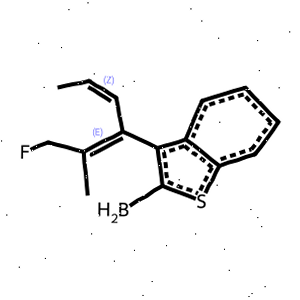 Bc1sc2ccccc2c1C(/C=C\C)=C(\C)CF